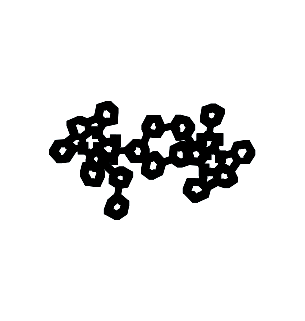 C1=CC2c3ccc4c5ccccc5n(-c5ccc(-c6cccc(-c7cccc(-c8cccc(-c9nc(-c%10ccccc%10)nc(N%10c%11ccccc%11C%11=CC=C%12c%13ccccc%13N(c%13ccc(-c%14cccc(-c%15ccccc%15)c%14)cc%13)C%12C%11%10)n9)c8)c7)c6)cc5)c4c3N(c3nc(-c4ccccc4)nc(-c4ccc(-c5ccccc5)cc4)n3)C2C=C1